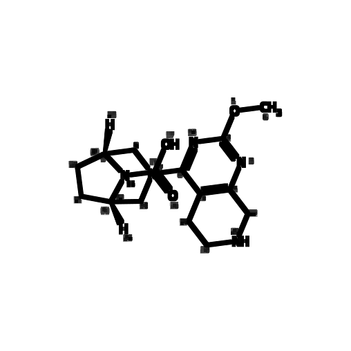 COc1nc2c(c(N3C[C@H]4CC[C@@H](C3)N4C(=O)O)n1)CCNC2